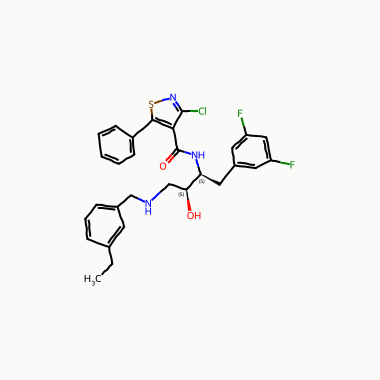 CCc1cccc(CNC[C@H](O)[C@H](Cc2cc(F)cc(F)c2)NC(=O)c2c(Cl)nsc2-c2ccccc2)c1